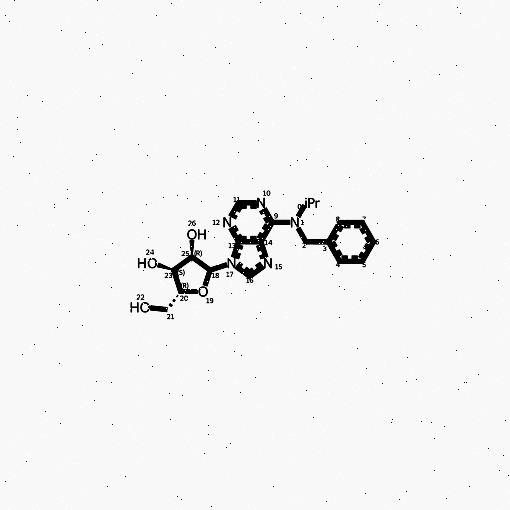 CC(C)N(Cc1ccccc1)c1ncnc2c1ncn2C1O[C@H](CO)[C@@H](O)[C@H]1O